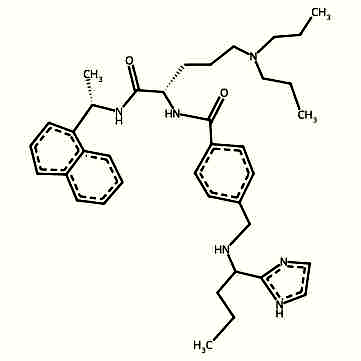 CCCC(NCc1ccc(C(=O)N[C@@H](CCCN(CCC)CCC)C(=O)N[C@@H](C)c2cccc3ccccc23)cc1)c1ncc[nH]1